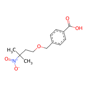 CC(C)(CCOCc1ccc(C(=O)O)cc1)[N+](=O)[O-]